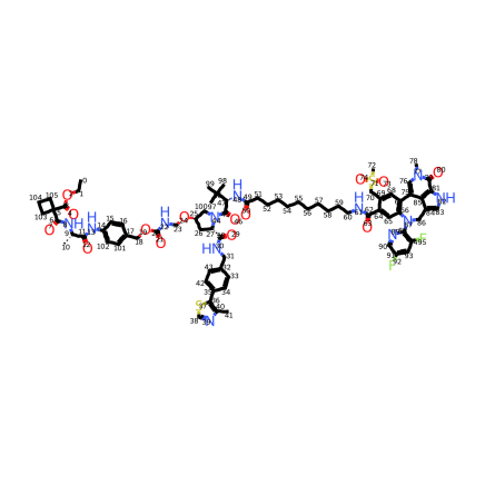 CCOC(=O)C1(C(=O)N[C@@H](C)C(=O)Nc2ccc(COC(=O)NCO[C@@H]3C[C@@H](C(=O)NCc4ccc(-c5scnc5C)cc4)N(C(=O)[C@@H](NC(=O)CCCCCCCCCCNC(=O)c4cc5c(cc4CS(C)(=O)=O)-c4cn(C)c(=O)c6[nH]cc(c46)CN5c4ncc(F)cc4F)C(C)(C)C)C3)cc2)CCC1